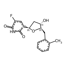 Cc1ccccc1C[C@H]1O[C@@H](n2cc(F)c(=O)[nH]c2=O)C[C@@H]1O